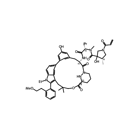 C=CC(=O)N1C[C@H](C)C(O)(C(=O)N(C)[C@H](C(=O)N[C@H]2Cc3cc(O)cc(c3)-c3ccc4c(c3)c(c(-c3ccccc3CCOC)n4CC)CC(C)(C)COC(=O)[C@@H]3CCCN(N3)C2=O)C(C)C)C1